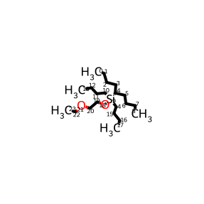 CCCCC(CCCC)[Si](CCCC)(CCCC)OCCOCC